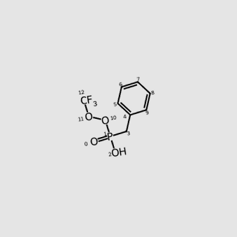 O=P(O)(Cc1ccccc1)OOC(F)(F)F